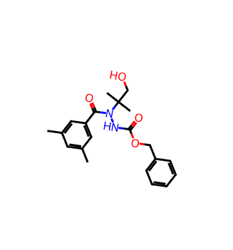 Cc1cc(C)cc(C(=O)N(NC(=O)OCc2ccccc2)C(C)(C)CO)c1